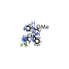 COc1cnc(-c2nn(Cc3c(C)nnn3C(F)F)c3ccccc23)nc1Nc1ccncc1